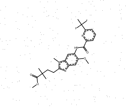 COC(=O)C(C)(C)CCc1nc2cc(OC)c(NC(=O)c3cccc(C(C)(F)F)n3)cc2n1C